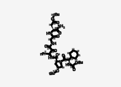 CCCC(NC(=O)[C@@H]1C[C@@H](OC(C)(C)C)CN1C(=O)[C@@H](NC(=O)OCC(C)C)C1CCCCC1)C(=O)C(=O)NCC(=O)N[C@H](CC(=O)OC(C)(C)C)C(N)=O